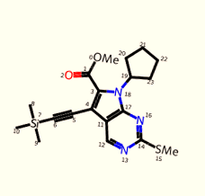 COC(=O)c1c(C#C[Si](C)(C)C)c2cnc(SC)nc2n1C1CCCC1